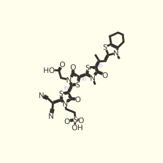 C/C(C=C1SC2=C(CCCC2)N1C)=c1\s/c(=c2/s/c(=c3/sc(=C(C#N)C#N)n(CCS(=O)(=O)O)c3=O)n(CC(=O)O)c2=O)n(C)c1=O